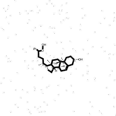 CC(C)C(CC[C@@H](C)[C@H]1CC[C@H]2[C@@H]3CC=C4C[C@@H](O)CC[C@]4(C)[C@H]3CC[C@]12C)OO